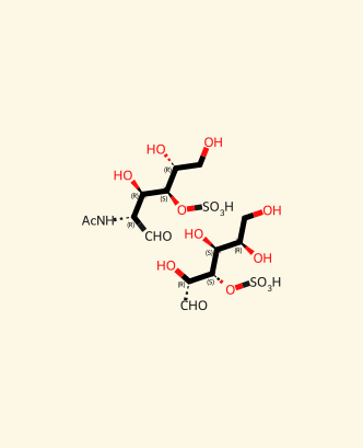 CC(=O)N[C@@H](C=O)[C@@H](O)[C@H](OS(=O)(=O)O)[C@H](O)CO.O=C[C@H](O)[C@@H](OS(=O)(=O)O)[C@@H](O)[C@H](O)CO